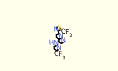 FC(F)(F)c1ccc(Nc2ccnc3nc(-c4ncsc4C(F)(F)F)ccc23)nc1